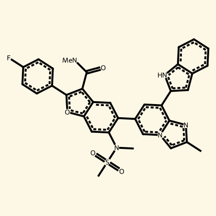 CNC(=O)c1c(-c2ccc(F)cc2)oc2cc(N(C)S(C)(=O)=O)c(-c3cc(-c4cc5ccccc5[nH]4)c4nc(C)cn4c3)cc12